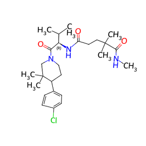 CNC(=O)C(C)(C)CCC(=O)N[C@@H](C(=O)N1CCC(c2ccc(Cl)cc2)C(C)(C)C1)C(C)C